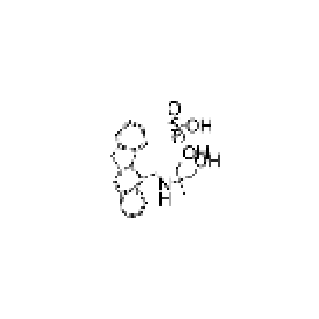 CC(CO)(CO)NCc1c2c(cc3ccccc13)Cc1ccccc1-2.CS(=O)(=O)O